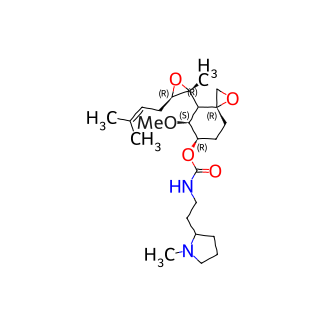 CO[C@H]1C([C@@]2(C)O[C@@H]2CC=C(C)C)[C@]2(CC[C@H]1OC(=O)NCCC1CCCN1C)CO2